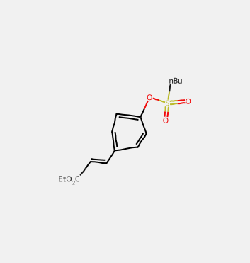 CCCCS(=O)(=O)Oc1ccc(C=CC(=O)OCC)cc1